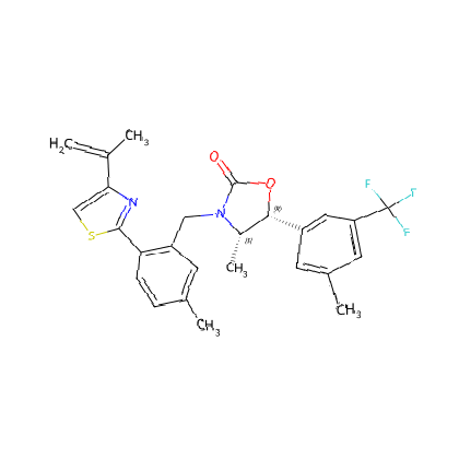 C=C(C)c1csc(-c2ccc(C)cc2CN2C(=O)O[C@H](c3cc(C)cc(C(F)(F)F)c3)[C@@H]2C)n1